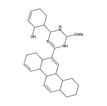 COC1NC(C2=CC3C(C=CC4CCCCC43)C3C=CCCC23)=NC(C2CCC=CC2O)N1